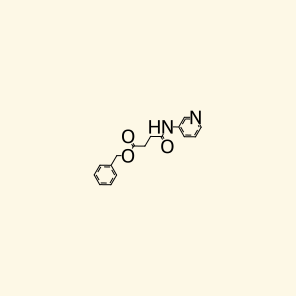 O=C(CCC(=O)OCc1ccccc1)Nc1cccnc1